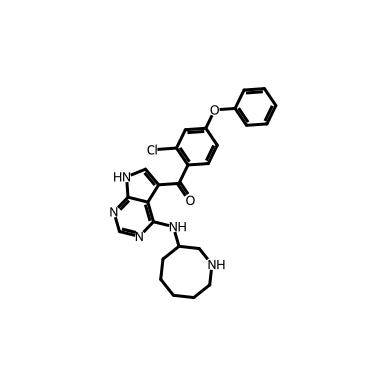 O=C(c1ccc(Oc2ccccc2)cc1Cl)c1c[nH]c2ncnc(NC3CCCCCNC3)c12